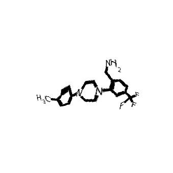 Cc1ccc(N2CCN(c3cc(C(F)(F)F)ccc3CN)CC2)cc1